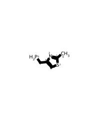 Cc1nc(CP)cs1